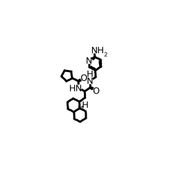 Nc1ccc(CNC(=O)C(CC2CCCC3CCCC[C@@H]32)NC(=O)C2CCCC2)cn1